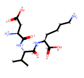 CC(C)[C@H](NC(=O)[C@@H](N)CC(=O)O)C(=O)N[C@@H](CCCCN)C(=O)O